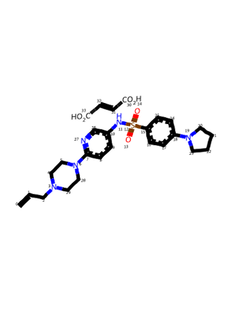 C=CCN1CCN(c2ccc(NS(=O)(=O)c3ccc(N4CCCC4)cc3)cn2)CC1.O=C(O)C=CC(=O)O